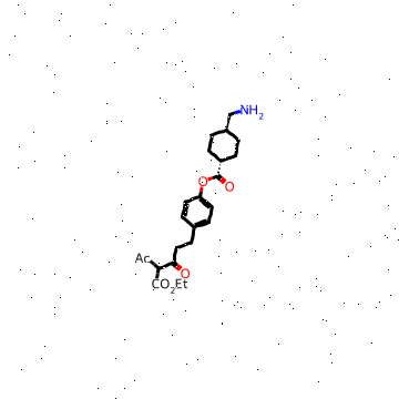 CCOC(=O)C(C(C)=O)C(=O)CCc1ccc(OC(=O)[C@H]2CC[C@H](CN)CC2)cc1